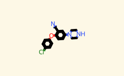 N#Cc1cc(N2CCNCC2)ccc1Oc1ccc(Cl)cc1